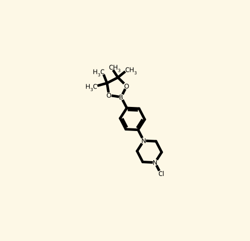 CC1(C)OB(c2ccc(N3CCN(Cl)CC3)cc2)OC1(C)C